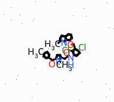 Cc1ccc(C(=O)c2ccc(CC(=O)Nc3ccc(Cl)c(COc4cccc5ccc(C)nc45)c3Cl)n2C)cc1